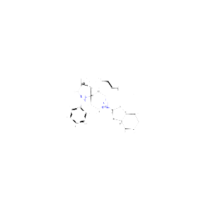 O=C(O)C=CC(=O)O.c1ccc(N2CCCC23CCN(C2CC4CCCCC4C2)CC3)cc1